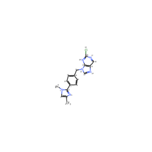 CC(C)n1cc(C(F)(F)F)nc1-c1ccc(Cn2cnc3cnc(Cl)nc32)cc1